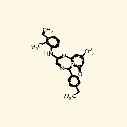 C=Cc1cccc(NC2=Nc3cc(C)cc(=O)n3C(c3ccc(CC)cc3)N=C2)c1C